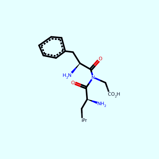 CC(C)C[C@H](N)C(=O)N(CC(=O)O)C(=O)[C@@H](N)Cc1ccccc1